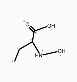 CCC(NO)C(=O)O